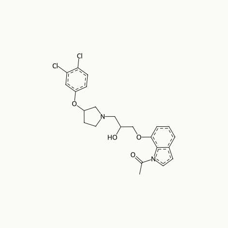 CC(=O)n1ccc2cccc(OCC(O)CN3CCC(Oc4ccc(Cl)c(Cl)c4)C3)c21